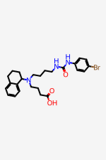 O=C(O)CCCN(CCCCNC(=O)Nc1ccc(Br)cc1)C1CCCc2ccccc21